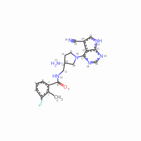 Cc1c(F)cccc1C(=O)NC[C@@]1(N)CCN(c2ncnc3[nH]cc(C#N)c23)C1